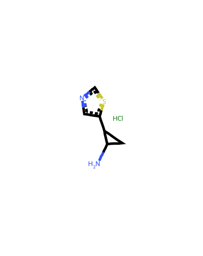 Cl.NC1CC1c1cncs1